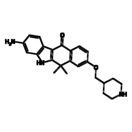 CC1(C)c2cc(OCC3CCNCC3)ccc2C(=O)c2c1[nH]c1cc(N)ccc21